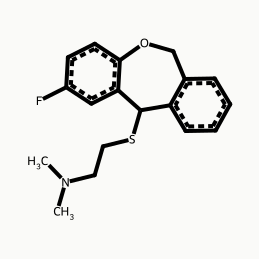 CN(C)CCSC1c2ccccc2COc2ccc(F)cc21